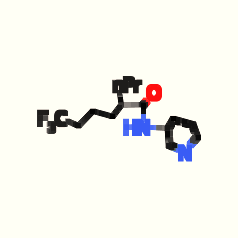 CCCC(CCCC(F)(F)F)C(=O)Nc1cccnc1